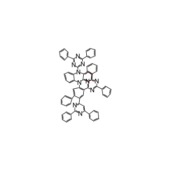 c1ccc(-c2cc(-c3cc(-c4nc(-c5ccccc5)nc(-c5ccccc5)n4)c(N4c5ccccc5N(c5nc(-c6ccccc6)nc(-c6ccccc6)n5)c5ccccc54)cc3-c3ccccc3)nc(-c3ccccc3)n2)cc1